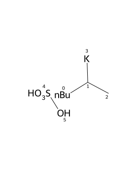 CCCC[CH](C)[K].O=S(=O)(O)O